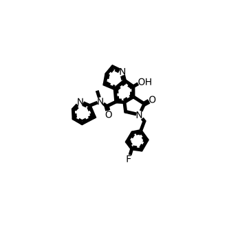 CN(C(=O)c1c2c(c(O)c3ncccc13)C(=O)N(Cc1ccc(F)cc1)C2)c1ccccn1